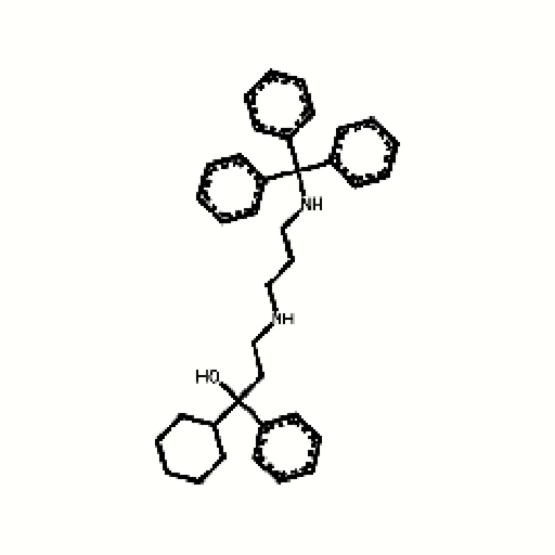 OC(CCNCCCNC(c1ccccc1)(c1ccccc1)c1ccccc1)(c1ccccc1)C1CCCCC1